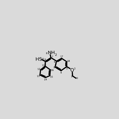 CCOc1ccc(/C(N)=C(/S)c2ccccc2)cc1